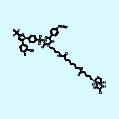 Cc1ccc(-c2cc(C(F)(F)F)nn2-c2ccc(S(=O)(=O)NC(=O)[C@@H](CCCCNC(=O)CCCCCNC(=O)CCCC[C@@H]3SC[C@@H]4NC(=O)N[C@H]43)NC(=O)c3ccc(N=[N+]=[N-])cc3)cc2)cc1O